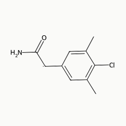 Cc1cc([CH]C(N)=O)cc(C)c1Cl